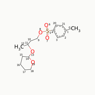 Cc1ccc(S(=O)(=O)OCCC(C)OC2CCCCO2)cc1